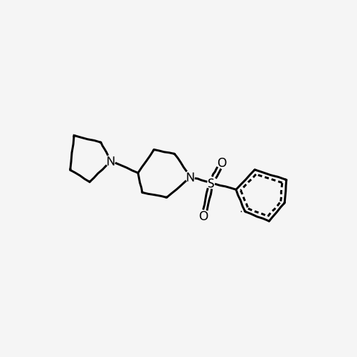 O=S(=O)(c1[c]cccc1)N1CCC(N2CCCC2)CC1